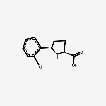 O=C(O)[C@@H]1CC[C@H](c2ccccc2Cl)N1